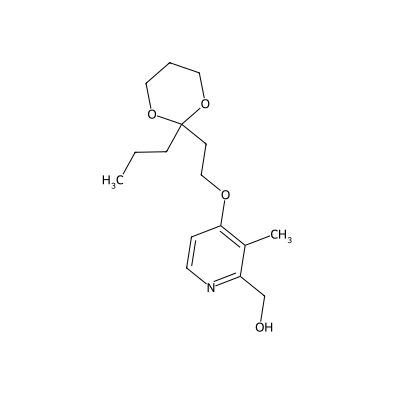 CCCC1(CCOc2ccnc(CO)c2C)OCCCO1